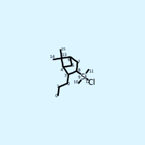 CCCC1C2CC(CC1[Si](C)(C)Cl)C2(C)C